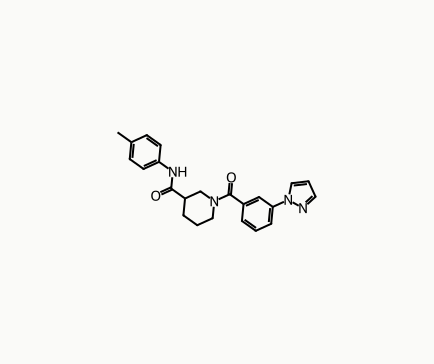 Cc1ccc(NC(=O)C2CCCN(C(=O)c3cccc(-n4cccn4)c3)C2)cc1